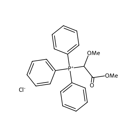 COC(=O)C(OC)[P+](c1ccccc1)(c1ccccc1)c1ccccc1.[Cl-]